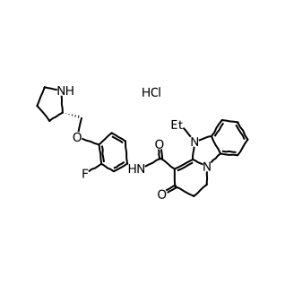 CCN1C2=C(C(=O)Nc3ccc(OC[C@@H]4CCCN4)c(F)c3)C(=O)CCN2c2ccccc21.Cl